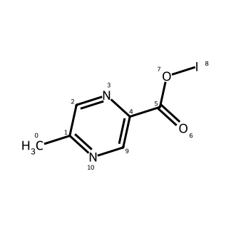 Cc1cnc(C(=O)OI)cn1